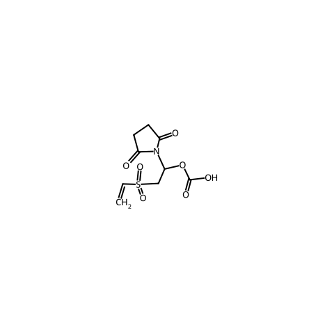 C=CS(=O)(=O)CC(OC(=O)O)N1C(=O)CCC1=O